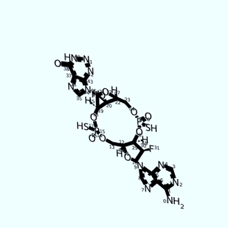 Nc1ncnc2c1ncn2[C@@H]1O[C@@H]2COP(=O)(S)O[C@@H]3[C@H](O)[C@@H](COP(=O)(S)O[C@H]2[C@H]1F)O[C@H]3n1cnc2c(=O)[nH]nnc21